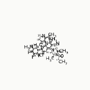 C=CC(=O)N1[C@H](C)CN(c2c(C#N)c(=O)n(-c3c(C)ccnc3C(C)C)c3nc(-c4cc(N)c(F)c(F)c4F)c(Cl)cc23)C[C@@H]1C